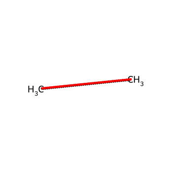 CCCCCCCCCCCCCCCCCCCCCCCCCCCCCCCCCCCCCCCCCCCCCCCCCCCCCCCCCCCCCCCCCCCCCCCCCCCCCCCCCCCCCCCCCC